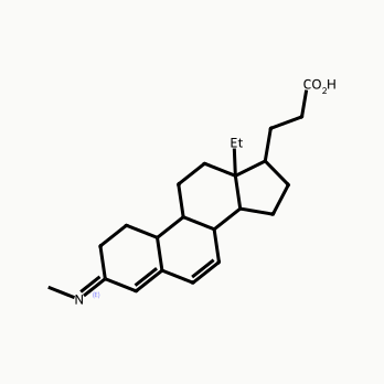 CCC12CCC3C4CC/C(=N\C)C=C4C=CC3C1CCC2CCC(=O)O